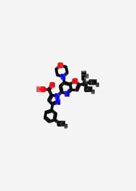 Cc1cccc(-c2cc(C(=O)O)n(-c3cc(N4CCOCC4)c4oc([Si](C)(C)C)cc4n3)n2)c1